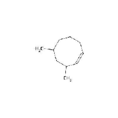 [CH2]C1CCCC=CC(C)C1